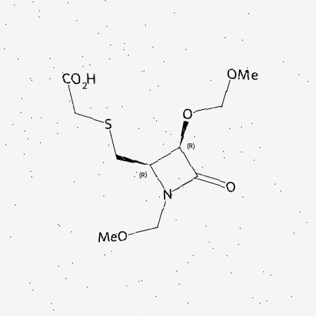 COCO[C@H]1C(=O)N(COC)[C@H]1CSCC(=O)O